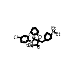 CCN(CC)c1ccc(CC(Oc2ccccc2)(C(=O)Nc2ccc(Cl)cc2Cl)C(=O)C(C)(C)C)cc1